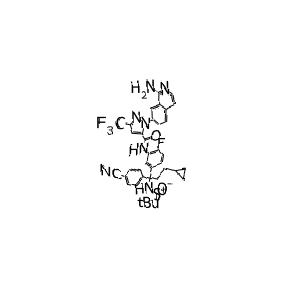 CC(C)(C)[S+]([O-])NC(CCC1CC1)(c1ccc(C#N)cc1)c1ccc(F)c(NC(=O)c2cc(C(F)(F)F)nn2-c2ccc3ccnc(N)c3c2)c1